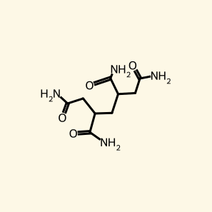 NC(=O)CC(CC(CC(N)=O)C(N)=O)C(N)=O